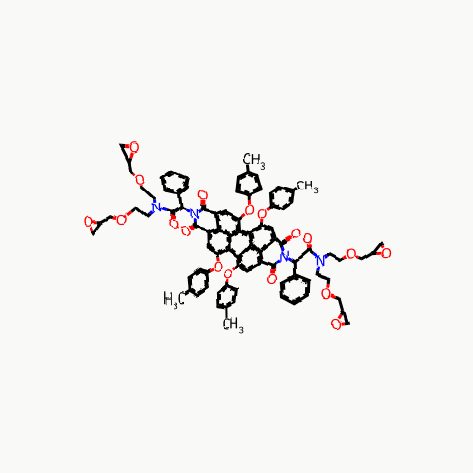 Cc1ccc(Oc2cc3c4c(cc(Oc5ccc(C)cc5)c5c6c(Oc7ccc(C)cc7)cc7c8c(cc(Oc9ccc(C)cc9)c(c2c45)c86)C(=O)N(C(C(=O)N(CCOCC2CO2)CCOCC2CO2)c2ccccc2)C7=O)C(=O)N(C(C(=O)N(CCOCC2CO2)CCOCC2CO2)c2ccccc2)C3=O)cc1